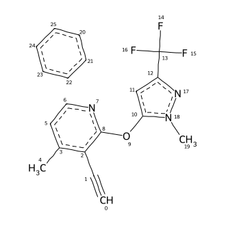 C#Cc1c(C)ccnc1Oc1cc(C(F)(F)F)nn1C.c1ccccc1